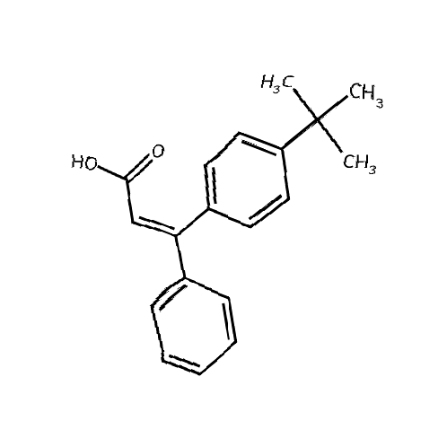 CC(C)(C)c1ccc(/C(=C\C(=O)O)c2ccccc2)cc1